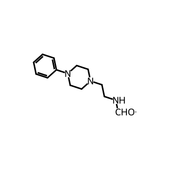 O=[C]NCCN1CCN(c2ccccc2)CC1